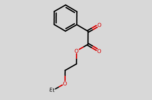 CCOCCOC(=O)C(=O)c1ccccc1